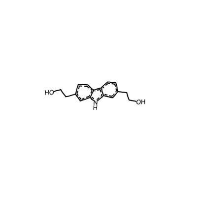 OCCc1ccc2c(c1)[nH]c1cc(CCO)ccc12